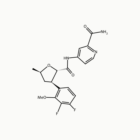 COc1c([C@H]2C[C@@H](C)O[C@@H]2C(=O)Nc2ccnc(C(N)=O)c2)ccc(F)c1F